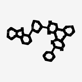 c1ccc(-c2ncc3c4ccccc4c4cnc(-c5cccc(-c6cccc7c6sc6ccccc67)c5)nc4c3n2)cc1